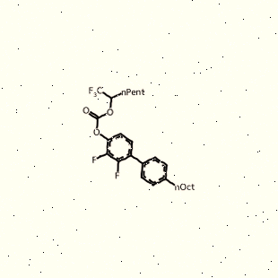 CCCCCCCCc1ccc(-c2ccc(OC(=O)OC(CCCCC)C(F)(F)F)c(F)c2F)cc1